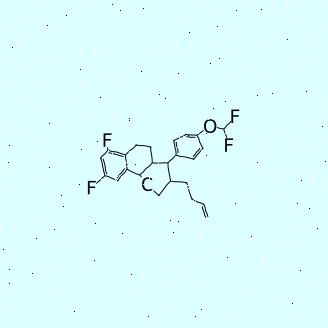 C=CCCC1CCC2c3cc(F)cc(F)c3CCC2C1c1ccc(OC(F)F)cc1